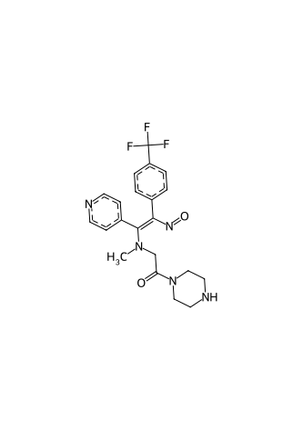 CN(CC(=O)N1CCNCC1)/C(=C(\N=O)c1ccc(C(F)(F)F)cc1)c1ccncc1